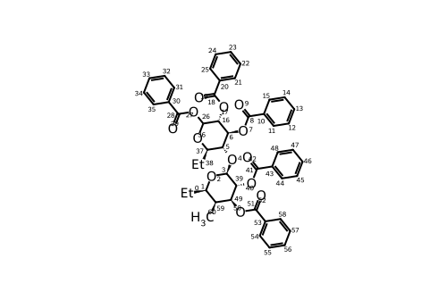 CC[C@H]1O[C@@H](O[C@H]2[C@H](OC(=O)c3ccccc3)[C@@H](OC(=O)c3ccccc3)C(OC(=O)c3ccccc3)O[C@@H]2CC)[C@H](OC(=O)c2ccccc2)[C@@H](OC(=O)c2ccccc2)[C@H]1C